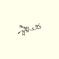 C#CCN/C(=N/CCSCc1csc(C)n1)NC#N